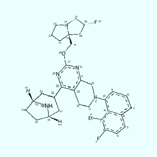 CCc1c(F)ccc2cccc(N3CCc4c(nc(OC[C@@]56CCCN5C[C@H](F)C6)nc4C4C[C@H]5CC[C@@H](C4)N5)C3)c12